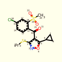 CC(C)Sc1noc(C2CC2)c1C(=O)c1ccc(Cl)cc1S(C)(=O)=O